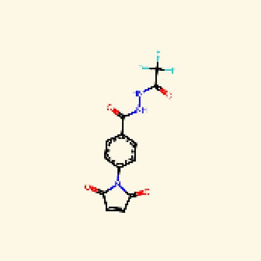 O=C(NNC(=O)C(F)(F)F)c1ccc(N2C(=O)C=CC2=O)cc1